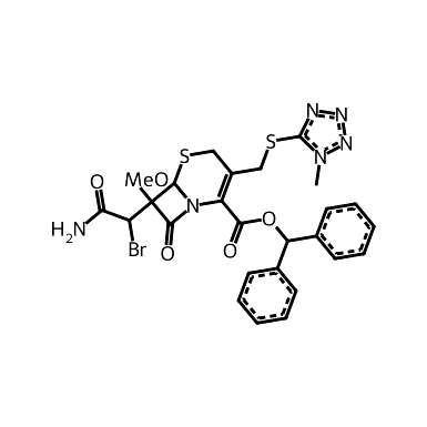 COC1(C(Br)C(N)=O)C(=O)N2C(C(=O)OC(c3ccccc3)c3ccccc3)=C(CSc3nnnn3C)CSC21